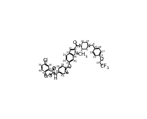 Cn1c(C(=O)N2CCN(Cc3ccc(OCC(F)(F)F)cc3)CC2)cc2ccc(Oc3ccc(NS(=O)(=O)c4cc(Cl)ccc4Br)cn3)cc21